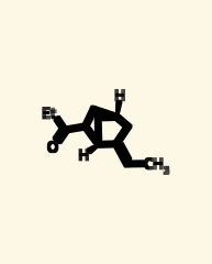 CC=C1C[C@H]2CC(C(=O)CC)[C@@H]1C2